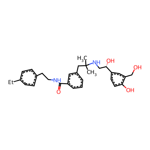 CCc1ccc(CCNC(=O)c2cccc(CC(C)(C)NC[C@H](O)c3ccc(O)c(CO)c3)c2)cc1